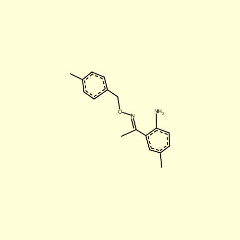 C/C(=N\OCc1ccc(C)cc1)c1cc(C)ccc1N